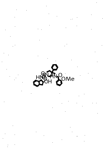 COc1ccccc1C(=O)NCC1(c2ccccc2)CCN(S(=O)(=O)N[C@@H]2C3C=CC=CC3C[C@@H]2O)CC1